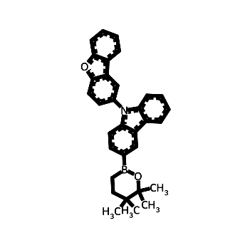 CC1(C)CCB(c2ccc3c(c2)c2ccccc2n3-c2ccc3oc4ccccc4c3c2)OC1(C)C